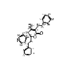 O=C1OC(CCc2ccccc2)(c2ccncc2)CC(O)=C1SCc1ccccc1